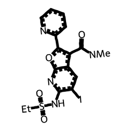 CCS(=O)(=O)Nc1nc2oc(-c3ccccn3)c(C(=O)NC)c2cc1I